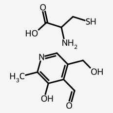 Cc1ncc(CO)c(C=O)c1O.NC(CS)C(=O)O